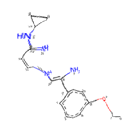 CCOc1cccc(/C(N)=C/N/C=C\C(=N)NC2CC2)c1